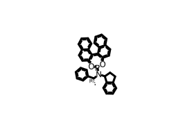 C[C@H](c1ccccc1)N(C1CCc2ccccc21)p1oc2ccc3ccccc3c2c2c(ccc3ccccc32)o1